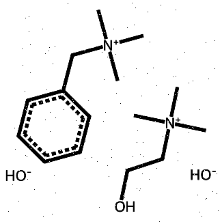 C[N+](C)(C)CCO.C[N+](C)(C)Cc1ccccc1.[OH-].[OH-]